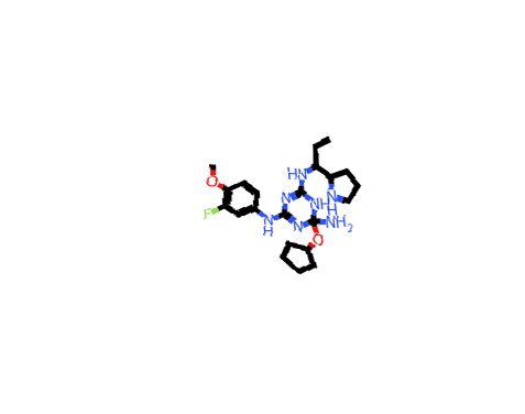 CCC(NC1=NC(Nc2ccc(OC)c(F)c2)=NC(N)(OC2CCCC2)N1)C1CCCN1